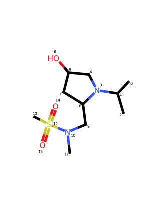 CC(C)N1CC(O)CC1CN(C)S(C)(=O)=O